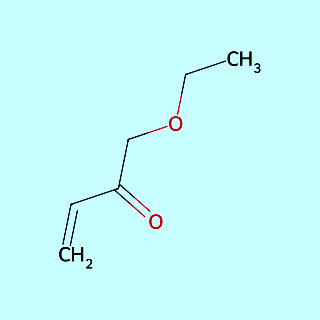 C=CC(=O)COCC